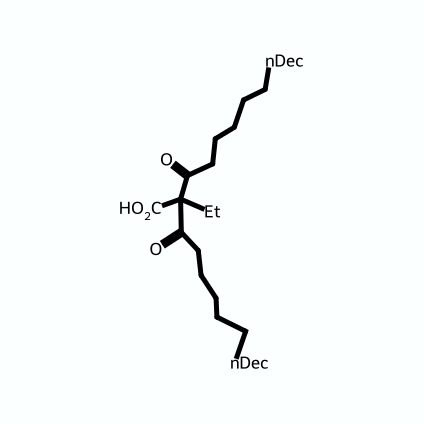 CCCCCCCCCCCCCCCC(=O)C(CC)(C(=O)O)C(=O)CCCCCCCCCCCCCCC